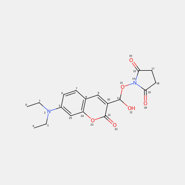 CCN(CC)c1ccc2cc(C(O)ON3C(=O)CCC3=O)c(=O)oc2c1